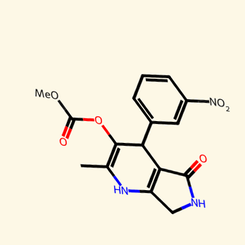 COC(=O)OC1=C(C)NC2=C(C(=O)NC2)C1c1cccc([N+](=O)[O-])c1